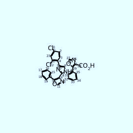 Clc1ccc(-c2c[nH]c(-c3ncoc3-c3ccccc3)n2)c(Cl)c1.O=C(O)c1ncoc1-c1ccccc1